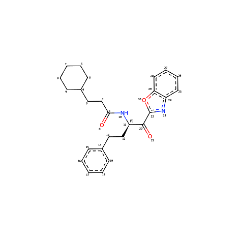 O=C(CCC1CCCCC1)N[C@H](CCc1ccccc1)C(=O)c1nc2ccccc2o1